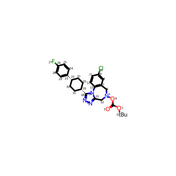 CC(C)(C)OC(=O)ON1Cc2cc(Cl)ccc2-n2c(nnc2[C@H]2CC[C@@H](c3ccc(F)cc3)CC2)C1